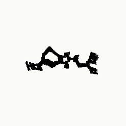 CCC(CC)CSc1nc2ccc(O)cc2s1